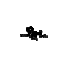 COC(=O)[C@@H]1COCCN1C1(C[N+](=O)[O-])CN(C(=O)OC(C)(C)C)C1